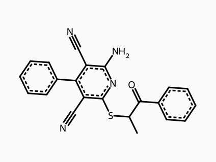 CC(Sc1nc(N)c(C#N)c(-c2ccccc2)c1C#N)C(=O)c1ccccc1